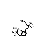 CC(C)N[C@@H]1Cc2cccc(OCC(C)(O)CNC(C)(C)C)c2C[C@H]1O